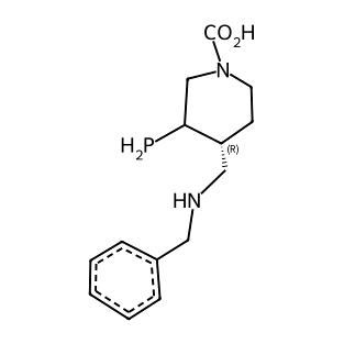 O=C(O)N1CC[C@H](CNCc2ccccc2)C(P)C1